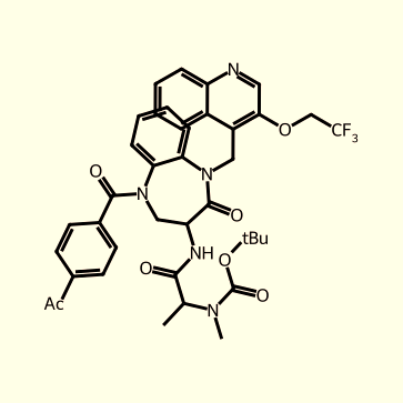 CC(=O)c1ccc(C(=O)N2CC(NC(=O)C(C)N(C)C(=O)OC(C)(C)C)C(=O)N(Cc3c(OCC(F)(F)F)cnc4ccccc34)c3ccccc32)cc1